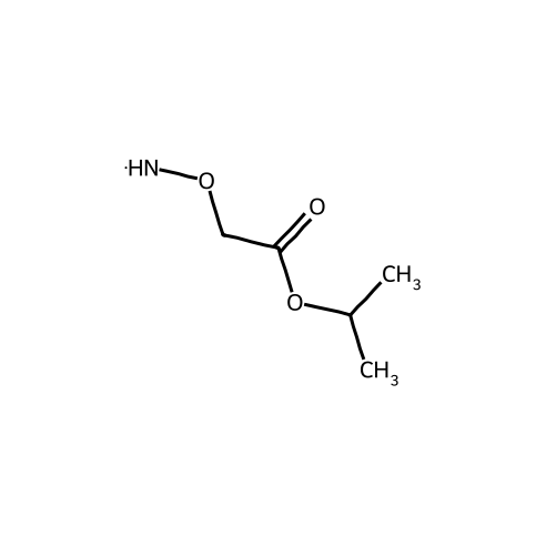 CC(C)OC(=O)CO[NH]